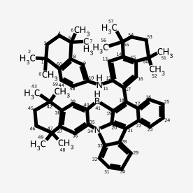 CC1(C)CCC(C)(C)c2cc(Nc3cc4c(cc3-c3c5c6c(c7ccccc37)c3ccccc3n6-c3cc6c(cc3B5)C(C)(C)CCC6(C)C)C(C)(C)CCC4(C)C)ccc21